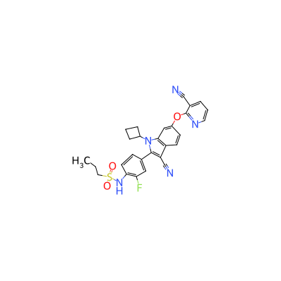 CCCS(=O)(=O)Nc1ccc(-c2c(C#N)c3ccc(Oc4ncccc4C#N)cc3n2C2CCC2)cc1F